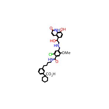 COc1cc(C(=O)NCCCCc2cccc(C3(C(=O)O)CCCCC3)c2)c(Cl)cc1CNCC(O)c1ccc(O)c2[nH]c(=O)ccc12